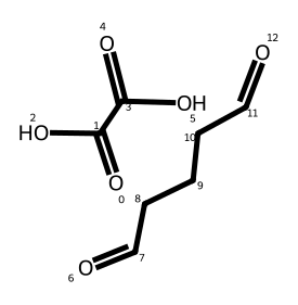 O=C(O)C(=O)O.O=CCCCC=O